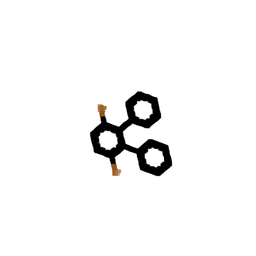 Brc1ccc(Br)c(-c2ccccc2)c1-c1ccccc1